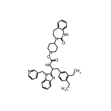 CCc1ccc(CC(NC(=O)ON2CCC(N3CCc4ccccc4NC3=O)CC2)c2nc3ccccc3n2Cc2cccnc2)cc1CC